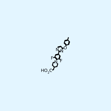 Cc1ccc(Oc2ccnc(-c3cc(F)c(N4CCC(CC(=O)O)CC4)c(F)c3)n2)cc1